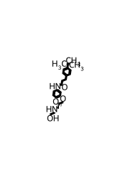 CC(C)(C)c1ccc(CCC(=O)Nc2ccc3c(c2)OC[C@@H](CNCCO)O3)cc1